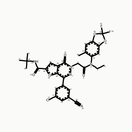 CCN(C(=O)Cn1nc(-c2cc(Cl)cc(C#N)c2)c2oc(C(=O)NC(C)(C)C)cc2c1=O)c1cc2c(cc1C)OC(F)(F)O2